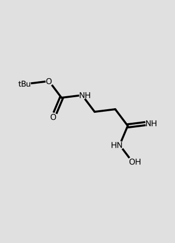 CC(C)(C)OC(=O)NCCC(=N)NO